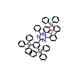 c1ccc(-c2nc(-c3cc([Si](c4ccccc4)(c4ccccc4)c4ccccc4)cc([Si](c4ccccc4)(c4ccccc4)c4ccccc4)c3)nc(-c3cccc4c3oc3c([Si](c5ccccc5)(c5ccccc5)c5ccccc5)cccc34)n2)cc1